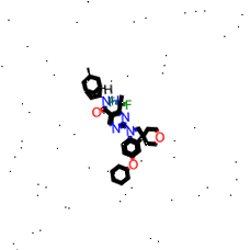 C[C@@H]1CC2C[C@@H](C1)[C@H](NC(=O)c1cnc(N3CC4(CCOCC4)c4cc(OC5CCCCC5)ccc43)nc1C(C)(F)F)C2